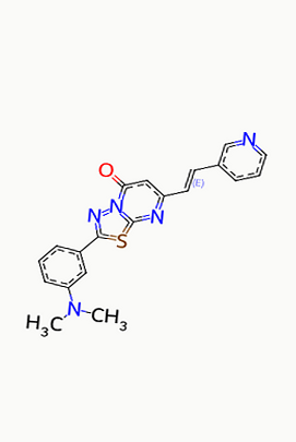 CN(C)c1cccc(-c2nn3c(=O)cc(/C=C/c4cccnc4)nc3s2)c1